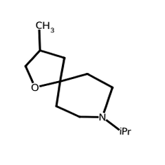 CC1COC2(CCN(C(C)C)CC2)C1